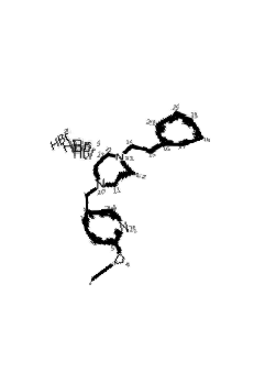 Br.Br.Br.COc1ccc(CN2CCN(CCc3ccccc3)CC2)cn1